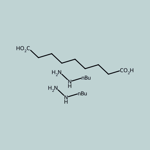 CCCCNN.CCCCNN.O=C(O)CCCCCCCC(=O)O